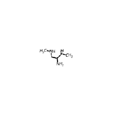 CNCC(N)PC